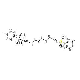 C[Si](C)(C#CCCCCCCC#CS(C)(C)c1ccccc1)c1ccccc1